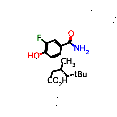 CC(CC(=O)O)CC(C)(C)C.NC(=O)c1ccc(O)c(F)c1